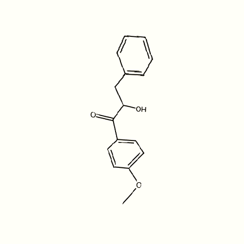 COc1ccc(C(=O)C(O)Cc2ccccc2)cc1